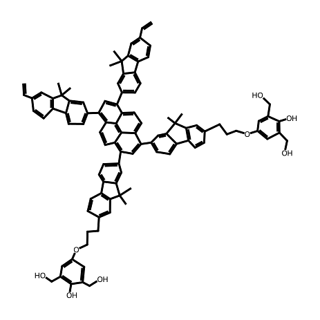 C=Cc1ccc2c(c1)C(C)(C)c1cc(-c3cc(-c4ccc5c(c4)C(C)(C)c4cc(C=C)ccc4-5)c4ccc5c(-c6ccc7c(c6)C(C)(C)c6cc(CCCOc8cc(CO)c(O)c(CO)c8)ccc6-7)cc(-c6ccc7c(c6)C(C)(C)c6cc(CCCOc8cc(CO)c(O)c(CO)c8)ccc6-7)c6ccc3c4c65)ccc1-2